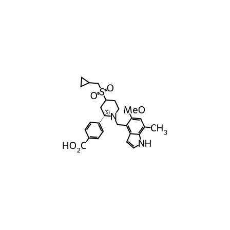 COc1cc(C)c2[nH]ccc2c1CN1CCC(S(=O)(=O)CC2CC2)C[C@H]1c1ccc(C(=O)O)cc1